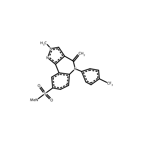 C=C1c2cn(C)nc2-c2cc(S(=O)(=O)NC)ccc2N1c1ccc(C(F)(F)F)cc1